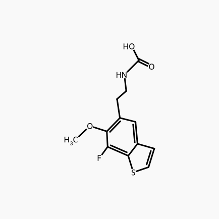 COc1c(CCNC(=O)O)cc2ccsc2c1F